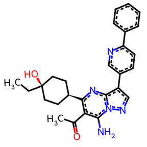 CC[C@]1(O)CC[C@@H](c2nc3c(-c4ccc(-c5ccccc5)nc4)cnn3c(N)c2C(C)=O)CC1